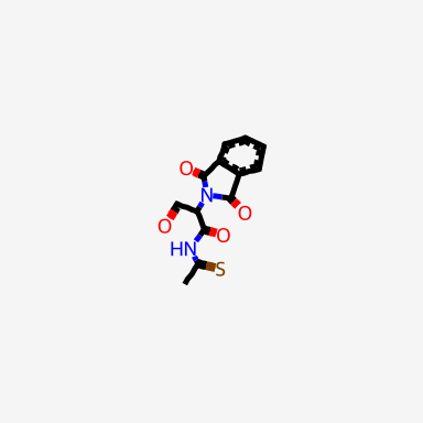 CC(=S)NC(=O)C(C=O)N1C(=O)c2ccccc2C1=O